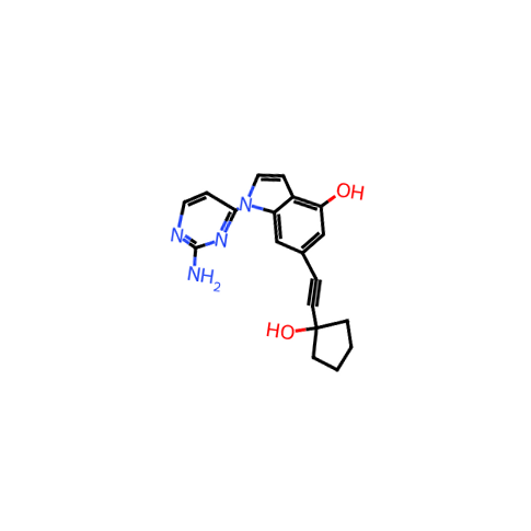 Nc1nccc(-n2ccc3c(O)cc(C#CC4(O)CCCC4)cc32)n1